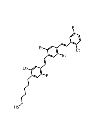 CCc1ccc(CC)c(C=Cc2cc(CC)c(C=Cc3cc(CC)c(CCCCCCS)cc3CC)cc2CC)c1